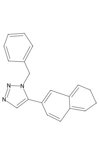 C1=c2ccc(-c3cnnn3Cc3ccccc3)cc2=CCC1